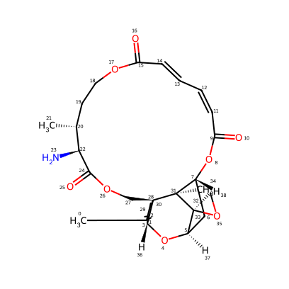 CC1=C[C@H]2O[C@@H]3C[C@H]4OC(=O)/C=C\C=C\C(=O)OCC[C@@H](C)[C@H](N)C(=O)OC[C@@]2(CC1)[C@]4(C)[C@]31CO1